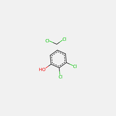 ClCCl.Oc1cccc(Cl)c1Cl